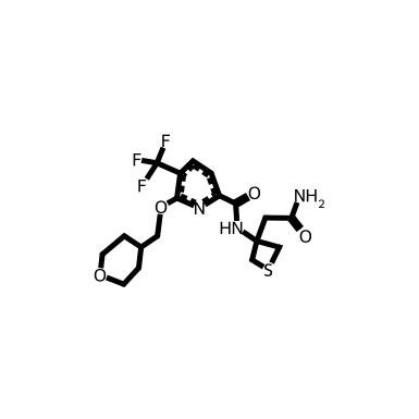 NC(=O)CC1(NC(=O)c2ccc(C(F)(F)F)c(OCC3CCOCC3)n2)CSC1